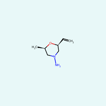 C=C[C@H]1CN(N)C[C@@H](C)O1